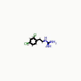 N=C(N)NCCc1ccc(Cl)cc1Cl